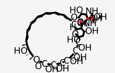 C[C@@H]1[C@H](O)[C@@H](C)/C=C/C=C/C=C/C=C/C=C/C=C/C=C/[C@H](O[C@@H]2O[C@H](C)[C@@H](O)[C@H](N)[C@@H]2O)C[C@@H]2O[C@](O)(C[C@@H](O)C[C@@H](O)[C@H](O)CC[C@@H](O)C[C@@H](O)CC(=O)O[C@H]1C)C[C@H](O)C2C(=O)NCC(C)(C)O